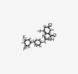 O=c1[nH]c(Cc2ccc(-c3cc(F)cc(F)c3)nc2)nc2c(I)cc(Cl)cc12